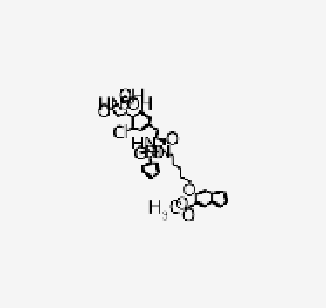 COC(=O)c1cc2ccccc2cc1OCCCCCNC(=O)C(Cc1ccc(C2CC(=O)NS2(O)O)c(Cl)c1)NS(=O)(=O)c1ccccc1